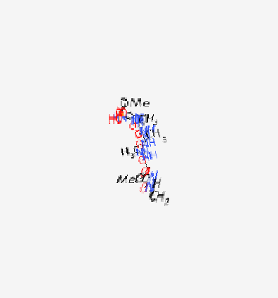 C=C1C[C@H]2C=Nc3cc(OCCCC(=O)Nc4cn(C)c(C(=O)Nc5cc(C(=O)Nc6cc(C(=O)n7ncc8ccc(NP(=O)(O)OCCOC)cc87)n(C)c6)n(C)c5)n4)c(OC)cc3C(=O)N2C1